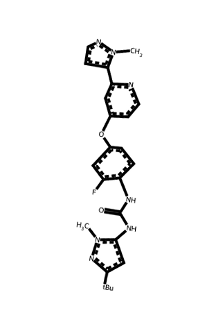 Cn1nc(C(C)(C)C)cc1NC(=O)Nc1ccc(Oc2ccnc(-c3ccnn3C)c2)cc1F